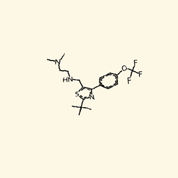 CN(C)CCNCc1sc(C(C)(C)C)nc1-c1ccc(OC(F)(F)F)cc1